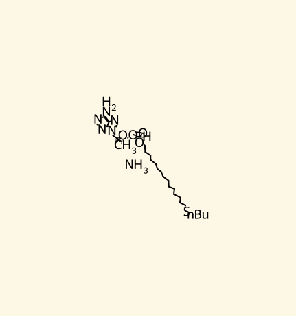 CCCCSCCCCCCCCCCCCCCCO[PH](=O)OCO[C@H](C)Cn1cnc2c(N)ncnc21.N